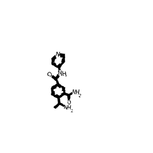 CC(N)c1ccc(C(=O)Nc2ccncc2)cc1C(N)=O